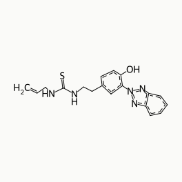 C=CCNC(=S)NCCc1ccc(O)c(-n2nc3ccccc3n2)c1